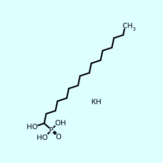 CCCCCCCCCCCCCCCC(O)P(=O)(O)O.[KH]